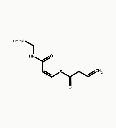 C=CCC(=O)S/C=C\C(=O)NCCCCCCCC